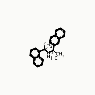 C[C@@H](N[C@H](C)c1cccc2ccccc12)c1ccc2ccccc2c1.Cl